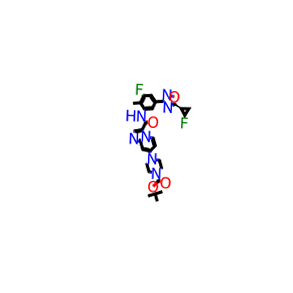 Cc1c(F)cc(-c2noc([C@H]3C[C@@H]3F)n2)cc1NC(=O)c1cnc2cc(N3CCN(C(=O)OC(C)(C)C)CC3)ccn12